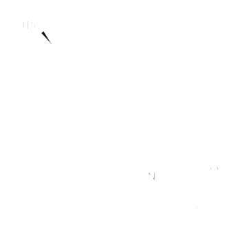 CC(CN1C[C@@H](C)O[C@@H](C)C1)C[C@H]1CC[C@H](C(C)(C)C)CC1